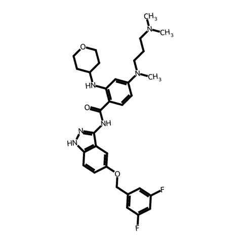 CN(C)CCCN(C)c1ccc(C(=O)Nc2n[nH]c3ccc(OCc4cc(F)cc(F)c4)cc23)c(NC2CCOCC2)c1